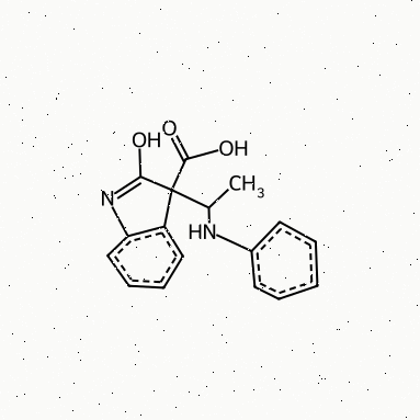 CC(Nc1ccccc1)C1(C(=O)O)C(O)=Nc2ccccc21